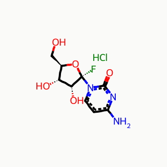 Cl.Nc1ccn([C@]2(F)O[C@H](CO)[C@@H](O)[C@H]2O)c(=O)n1